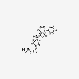 PCC1CC1c1ccc(NC2CCc3c(-c4ccccc4)cccc32)nc1